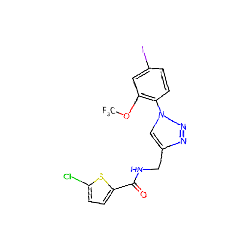 O=C(NCc1cn(-c2ccc(I)cc2OC(F)(F)F)nn1)c1ccc(Cl)s1